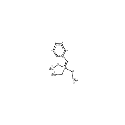 CC(C)(C)[CH2][Ta](=[CH]c1ccccc1)([CH2]C(C)(C)C)[CH2]C(C)(C)C